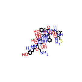 CSCC[C@H](NC(=O)[C@H](CC(C)C)NC(=O)CNC(=O)[C@H](Cc1ccc(O)cc1)NC(=O)[C@H](Cc1ccccc1)NC(=O)[C@H](CO)NC(=O)[C@H](CC(=O)O)NC(=O)[C@H](CO)NC(=O)[C@H](CCCCN)NC(=O)[C@@H](N)Cc1ccc(O)cc1)C(N)=O